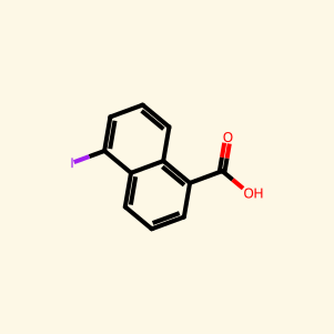 O=C(O)c1cccc2c(I)cccc12